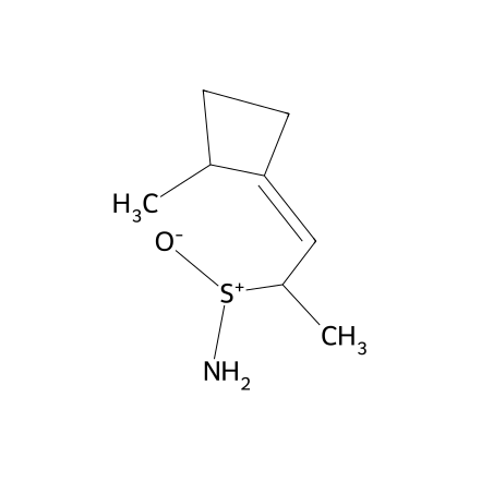 CC1CCC1=CC(C)[S+](N)[O-]